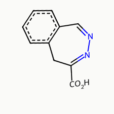 O=C(O)C1=NN=Cc2ccccc2C1